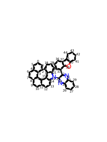 c1cc2c3c(c1)ccc1ccc4ccc5c(c6c-2cccc6n5-c2nc5ccccc5nc2-c2cccc5c2oc2ccccc25)c4c13